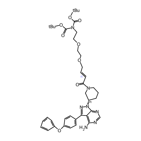 CC(C)(C)OC(=O)N(CCOCCOC/C=C/C(=O)N1CCC[C@@H](n2nc(-c3ccc(Oc4ccccc4)cc3)c3c(N)ncnc32)C1)C(=O)OC(C)(C)C